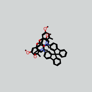 COc1cc(C)c(N(c2ccc3c(c2)C2(c4ccccc4-3)c3ccccc3-c3ccc(N(c4c(C)cc(OC)cc4C)c4c(C)cc(OC)cc4C)cc32)c2c(C)cc(C=O)cc2C)c(C)c1